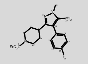 CCOC(=O)N1CCC(c2nn(C)c(N)c2-c2ccc(F)cc2)CC1